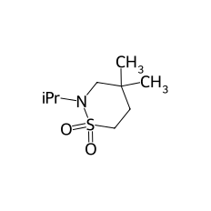 CC(C)N1CC(C)(C)CCS1(=O)=O